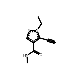 CCn1ncc(C(=O)NC)c1C#N